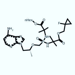 CCCCCCOC(=O)C(C)(C)NP(=O)(CO[C@H](C)Cn1cnc2c(N)ccnc21)NC(C)(C)C(=O)OCC1(F)CC1